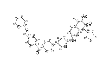 CC(=O)c1c(C)c2cnc(Nc3ccc(N4CCC(C(=O)c5ccc(COC6CCCCO6)cc5)CC4)cn3)nc2n(C2CCCC2)c1=O